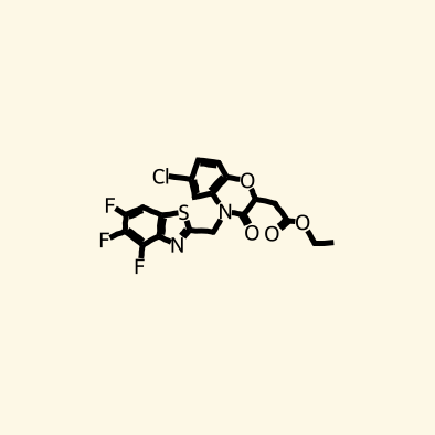 CCOC(=O)CC1Oc2ccc(Cl)cc2N(Cc2nc3c(F)c(F)c(F)cc3s2)C1=O